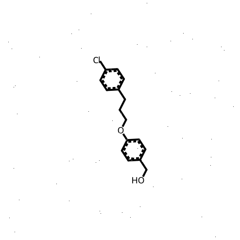 OCc1ccc(OCCCc2ccc(Cl)cc2)cc1